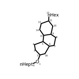 CCCCCCCOC1CCC2C(CCC3CC(CCCCCC)CCC32)C1